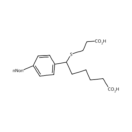 CCCCCCCCCc1ccc(C(CCCCC(=O)O)SCCC(=O)O)cc1